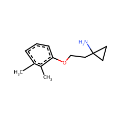 Cc1cccc(OCCC2(N)CC2)c1C